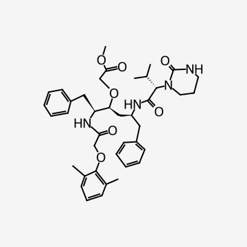 COC(=O)CO[C@@H](C[C@H](Cc1ccccc1)NC(=O)[C@H](C(C)C)N1CCCNC1=O)[C@H](Cc1ccccc1)NC(=O)COc1c(C)cccc1C